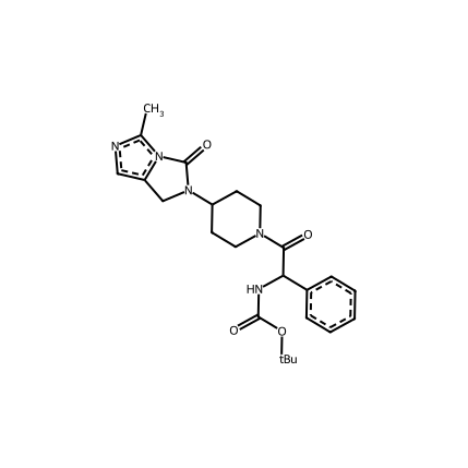 Cc1ncc2n1C(=O)N(C1CCN(C(=O)C(NC(=O)OC(C)(C)C)c3ccccc3)CC1)C2